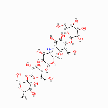 CC1O[C@H](CO)[C@@H](O[C@H]2OC(CO)C(OC3O[C@H](C)C(N[C@@H]4C(O)[C@@H](O)C(OC5OC(CO)[C@@H](O)C(O)[C@H]5O)[C@@H](CO)[C@H]4O)[C@H](O)[C@H]3O)C(O)[C@H]2O)[C@H](O)[C@H]1O